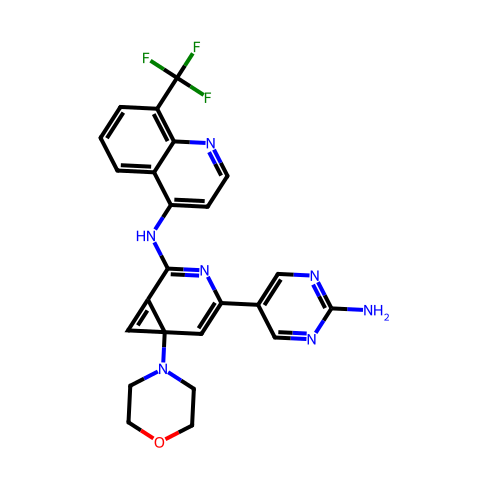 Nc1ncc(C2=CC3(N4CCOCC4)C=C3C(Nc3ccnc4c(C(F)(F)F)cccc34)=N2)cn1